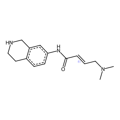 CN(C)C/C=C/C(=O)Nc1ccc2c(c1)CNCC2